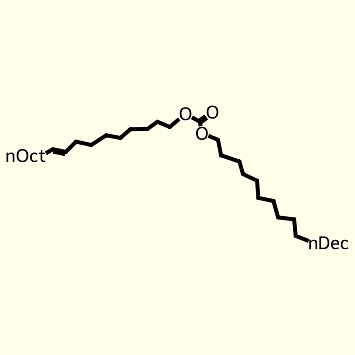 CCCCCCCCC=CCCCCCCCCOC(=O)OCCCCCCCCCCCCCCCCCCCC